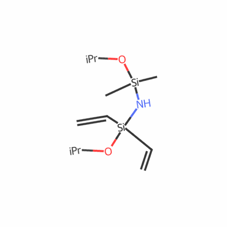 C=C[Si](C=C)(N[Si](C)(C)OC(C)C)OC(C)C